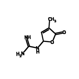 CC1=CC(NC(=N)N)OC1=O